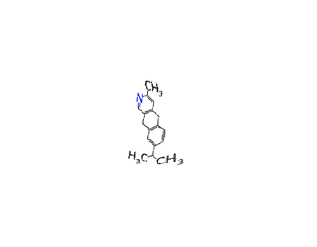 Cc1cc2c(cn1)Cc1cc(C(C)C)ccc1C2